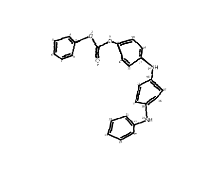 O=C(Oc1ccccc1)Oc1ccc(Nc2ccc(Nc3ccccc3)cc2)cc1